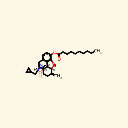 C=C1CC[C@@]2(O)[C@H]3Cc4ccc(OC(=O)CCCCCCCCC)c5c4[C@@]2(CCN3CC2CC2)[C@H]1O5